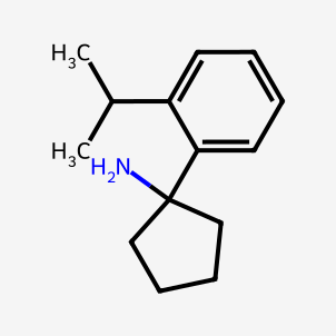 CC(C)c1ccccc1C1(N)CCCC1